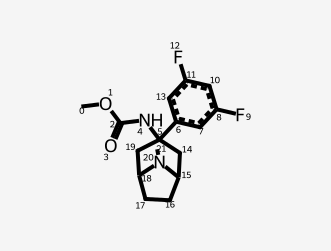 COC(=O)NC1(c2cc(F)cc(F)c2)CC2CCC(C1)N2C